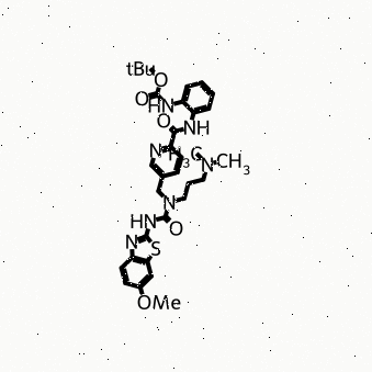 COc1ccc2nc(NC(=O)N(CCCN(C)C)Cc3ccc(C(=O)Nc4ccccc4NC(=O)OC(C)(C)C)nc3)sc2c1